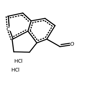 Cl.Cl.O=Cc1ccc2cccc3c2c1CC3